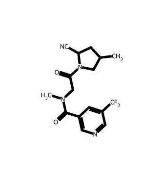 CC1CC(C#N)N(C(=O)CN(C)C(=O)c2cncc(C(F)(F)F)c2)C1